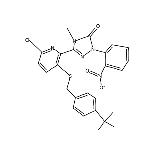 Cn1c(-c2nc(Cl)ccc2SCc2ccc(C(C)(C)C)cc2)nn(-c2ccccc2[N+](=O)[O-])c1=O